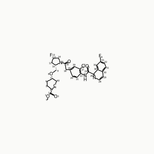 COC(=O)[C@H]1CC[C@H](OC[C@@H]2C[C@H](F)CN2C(=O)Cc2ccc(NC(=O)c3nccc4ccc(F)cc34)c(Cl)c2)CC1